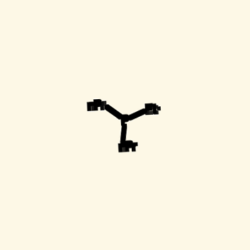 C[CH]P(CCC)CCC